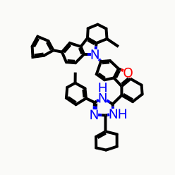 CC1C=C(C2=NC(C3=CCCCC3)NC(C3=CCCc4oc5cc(-n6c7c(c8cc(-c9ccccc9)ccc86)CCCC7C)ccc5c43)N2)C=CC1